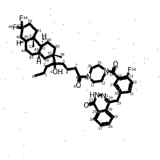 CCCC(O)(CCCC(=O)N1CCN(C(=O)c2cc(Cc3n[nH]c(=O)c4ccccc34)ccc2F)CC1)[C@@]1(C)CC[C@H]2[C@@H](CC[C@H]3CC(F)(F)CC[C@@]32C)C1